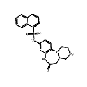 O=C1CC2CNCCN2c2ccc(NS(=O)(=O)c3cccc4ccccc34)cc2N1